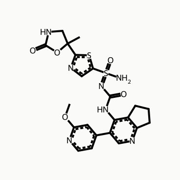 COc1cc(-c2cnc3c(c2NC(=O)N=S(N)(=O)c2cnc(C4(C)CNC(=O)O4)s2)CCC3)ccn1